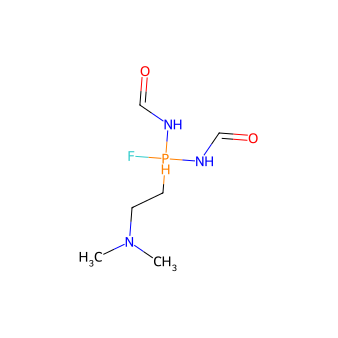 CN(C)CC[PH](F)(NC=O)NC=O